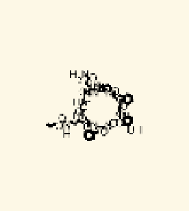 C=CCOC(=O)NCCCC[C@@H]1NC(=O)CNC[C@@H](C(=O)NCC(N)=O)NC(=O)[C@@H]2CCCN2C(=O)[C@H](Cc2ccccc2)N(C)C(=O)[C@H](Cc2ccc(O)cc2)NC(=O)CN(C)C(=O)[C@H](Cc2ccccc2)N(C)C1=O